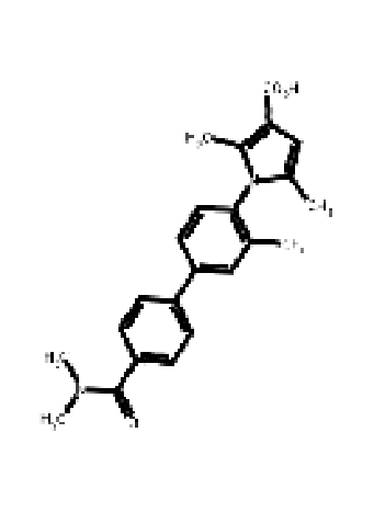 Cc1cc(C(=O)O)c(C)n1-c1ccc(-c2ccc(C(=O)N(C)C)cc2)cc1C(F)(F)F